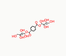 O=C(OC(O)[C@@H](O)[C@@H](O)CO)c1ccc(C(=O)OC(O)[C@@H](O)[C@@H](O)CO)cc1